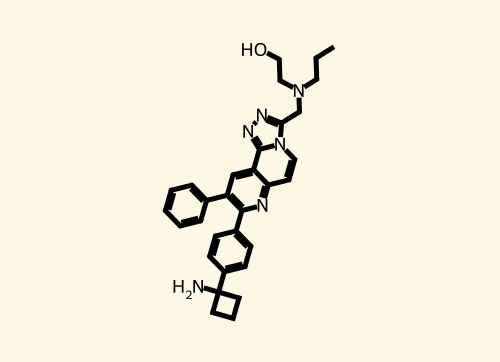 CCCN(CCO)Cc1nnc2c3cc(-c4ccccc4)c(-c4ccc(C5(N)CCC5)cc4)nc3ccn12